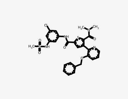 CN(C)C(=O)c1sc(C(=O)Nc2cc(Cl)cc(NS(C)(=O)=O)c2)cc1-c1ncccc1OCc1ccccc1